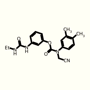 CCNC(=O)Nc1cccc(OC(=O)N(CC#N)c2ccc(C)c(C)c2)c1